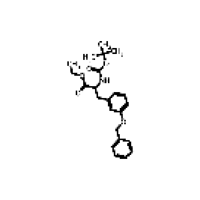 CCOC(=O)C(Cc1cccc(OCc2ccccc2)c1)NC(=O)OC(C)(C)C